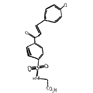 O=C(O)CNS(=O)(=O)c1ccc(C(=O)/C=C/c2ccc(Cl)cc2)cc1